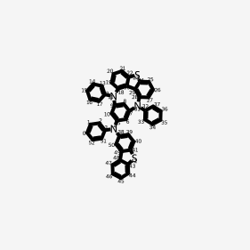 c1ccc(N(c2cc3cc(c2)N(c2ccccc2)c2cccc4sc5cccc(c5c24)N3c2ccccc2)c2ccc3sc4ccccc4c3c2)cc1